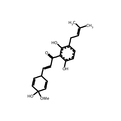 COC1(O)C=CC(/C=C/C(=O)c2c(O)ccc(CC=C(C)C)c2O)C=C1